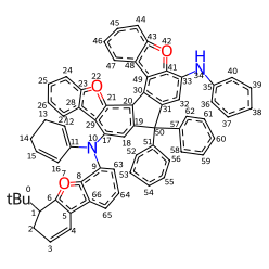 CC(C)(C)C1CC=Cc2c1oc1c(N(C3=CCCC=C3)c3cc4c(c5oc6ccccc6c35)-c3c(cc(Nc5ccccc5)c5oc6ccccc6c35)C4(c3ccccc3)c3ccccc3)cccc21